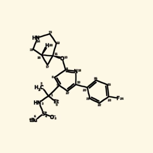 CCC(C)(N[S+]([O-])C(C)(C)C)c1cc(O[C@]23CCNC[C@H]2C3)nc(-c2ccc(F)cc2)c1